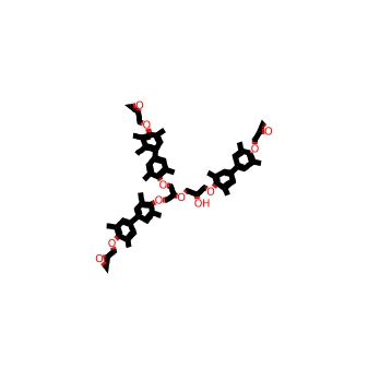 Cc1cc(-c2cc(C)c(OCC3CO3)c(C)c2)cc(C)c1OCC(O)COC(COc1c(C)cc(-c2cc(C)c(OCC3CO3)c(C)c2)cc1C)COc1c(C)cc(-c2cc(C)c(OCC3CO3)c(C)c2C)cc1C